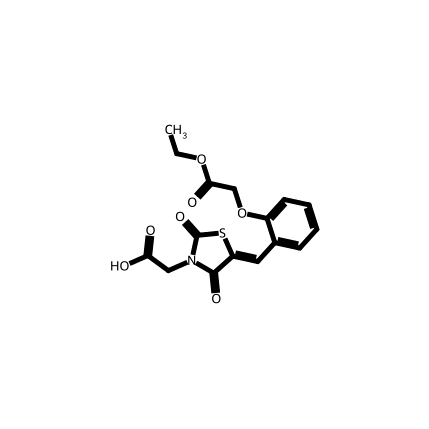 CCOC(=O)COc1ccccc1C=C1SC(=O)N(CC(=O)O)C1=O